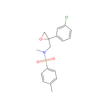 Cc1ccc(S(=O)(=O)N(C)CC2(c3cccc(Cl)c3)CO2)cc1